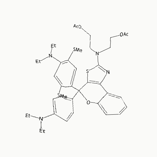 CCN(CC)c1ccc(C2(c3cc(SC)c(N(CC)CC)cc3SC)Oc3ccccc3-c3nc(N(CCOC(C)=O)CCOC(C)=O)sc32)cc1